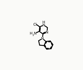 NC1=C(Cl)NCN=C1N1CCc2ccccc21